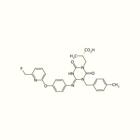 Cc1ccc(Cn2c(=O)n(C[C@H](C)C(=O)O)c(=O)[nH]/c2=N\c2ccc(Oc3cccc(CF)n3)cc2)cc1